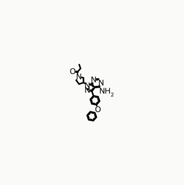 CCC(=O)N1CCC(n2nc(-c3ccc(Oc4ccccc4)cc3)c3c(N)ncnc32)C1